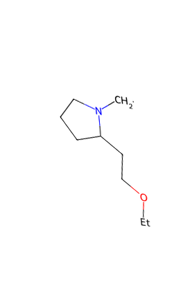 [CH2]N1CCCC1CCOCC